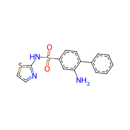 Nc1cc(S(=O)(=O)Nc2nccs2)ccc1-c1ccccc1